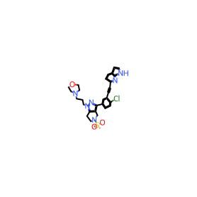 CS(=O)(=O)N1CCc2c(c(-c3ccc(Cl)c(C#Cc4ccc5cc[nH]c5n4)c3)nn2CCCN2CCOCC2)C1